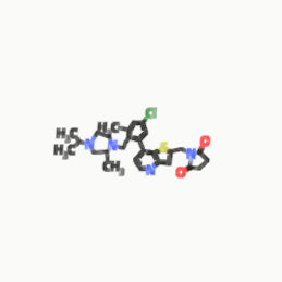 Cc1cc(Cl)cc(-c2ccnc3cc(CN4C(=O)CCC4=O)sc23)c1CN1CCN(C(C)C)CC1C